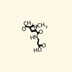 CC(=O)c1cc(C(=O)NCCC(=O)O)n(C)c1